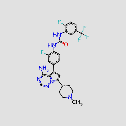 CN1CCC(c2cc(-c3ccc(NC(=O)Nc4cc(C(F)(F)F)ccc4F)c(F)c3)c3c(N)ncnn23)CC1